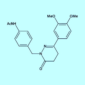 COc1ccc(C2=NN(Cc3ccc(NC(C)=O)cc3)C(=O)CC2)cc1OC